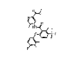 COC(=O)c1cc(NC(=O)c2c(Oc3ccc(F)c(F)c3C)ccc(C(F)(F)F)c2C)c(C)cn1